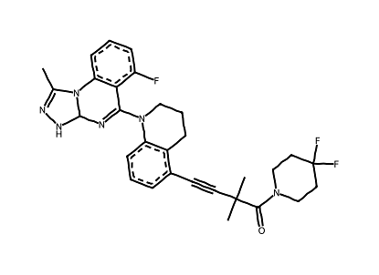 CC1=NNC2N=C(N3CCCc4c(C#CC(C)(C)C(=O)N5CCC(F)(F)CC5)cccc43)c3c(F)cccc3N12